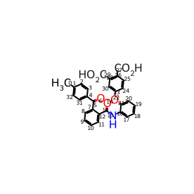 Cc1ccc(C(=O)c2ccccc2C(=O)Nc2ccccc2Oc2ccc(C(=O)O)c(C(=O)O)c2)cc1